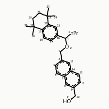 CCCC(OCc1ccc2cc(CO)ccc2c1)c1ccc2c(c1)C(C)(C)CCC2(C)C